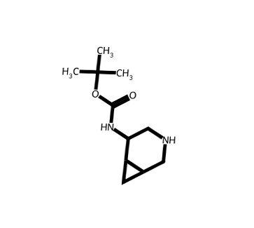 CC(C)(C)OC(=O)NC1CNCC2CC21